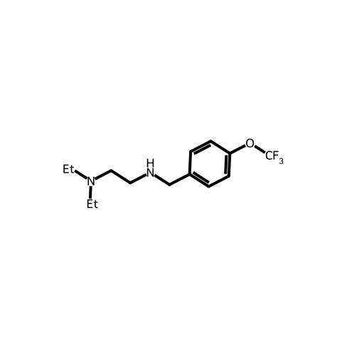 CCN(CC)CCNCc1ccc(OC(F)(F)F)cc1